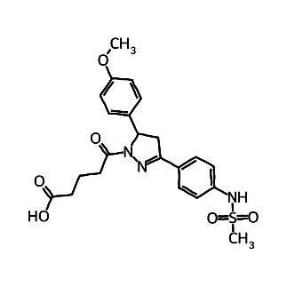 COc1ccc(C2CC(c3ccc(NS(C)(=O)=O)cc3)=NN2C(=O)CCCC(=O)O)cc1